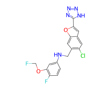 FCOc1cc(NCc2cc3oc(-c4nnn[nH]4)cc3cc2Cl)ccc1F